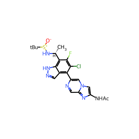 CC(=O)Nc1cn2cc(-c3c(Cl)c(F)c([C@@H](C)N[S+]([O-])C(C)(C)C)c4[nH]ncc34)ncc2n1